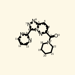 O=C(c1ccc2nnc(-c3ncccn3)n2n1)N1CCCCC1